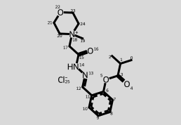 CC(C)C(=O)Oc1ccccc1C=NNC(=O)C[N+]1(C)CCOCC1.[Cl-]